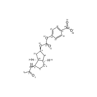 CC(=O)N[C@@H]1CO[C@@H]2C[C@H](OC(=O)Oc3ccc([N+](=O)[O-])cc3)C[C@H]12